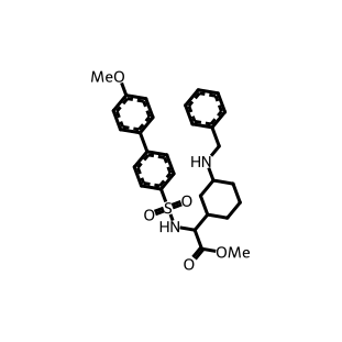 COC(=O)C(NS(=O)(=O)c1ccc(-c2ccc(OC)cc2)cc1)C1CCCC(NCc2ccccc2)C1